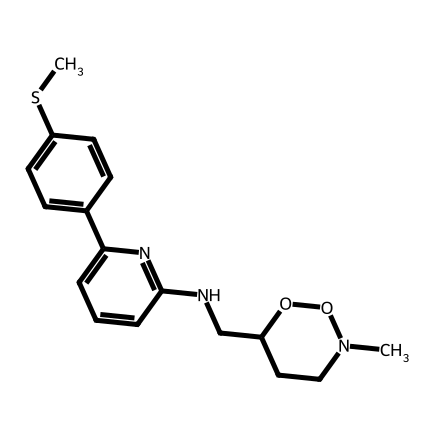 CSc1ccc(-c2cccc(NCC3CCN(C)OO3)n2)cc1